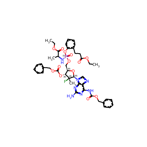 CCOC(=O)CCc1ccccc1O[P@](=O)(NC(C)C(=O)OCC)OC[C@H]1O[C@@H](n2cnc3c(NC(=O)OCc4ccccc4)nc(N)nc32)[C@](C)(F)[C@@H]1OC(=O)OCc1ccccc1